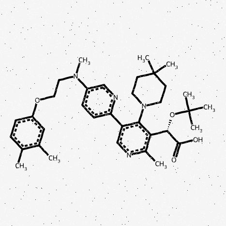 Cc1ccc(OCCN(C)c2ccc(-c3cnc(C)c([C@H](OC(C)(C)C)C(=O)O)c3N3CCC(C)(C)CC3)nc2)cc1C